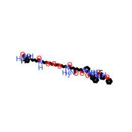 Cc1nc(Oc2ccccc2)ccc1N1C(=O)NC2=C(C(=O)N[C@@H]3CCCN(C(=O)/C=C/CC(CCC(=O)NCCCOCCOCCOCCCNC(=O)CCCC[C@@H]4CC[C@@H]5NC(=O)N[C@H]45)C(N)=O)C3)Cc3cccc1c32